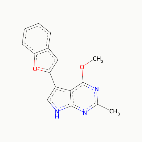 COc1nc(C)nc2[nH]cc(-c3cc4ccccc4o3)c12